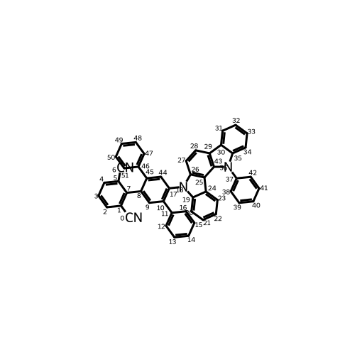 N#Cc1cccc(C#N)c1-c1cc(-c2ccccc2)c(-n2c3ccccc3c3c2ccc2c4ccccc4n(-c4ccccc4)c23)cc1-c1ccccc1